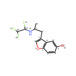 CC(Cc1coc2ccc(Br)cc12)NC(F)C(F)F